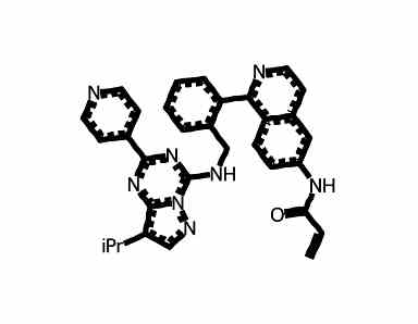 C=CC(=O)Nc1ccc2c(-c3ccccc3CNc3nc(-c4ccncc4)nc4c(C(C)C)cnn34)nccc2c1